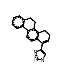 C1=C(C2=CCCc3c2ccc2c3CCc3ccccc3-2)N=N[N]1